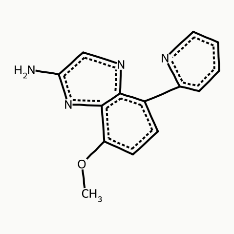 COc1ccc(-c2ccccn2)c2ncc(N)nc12